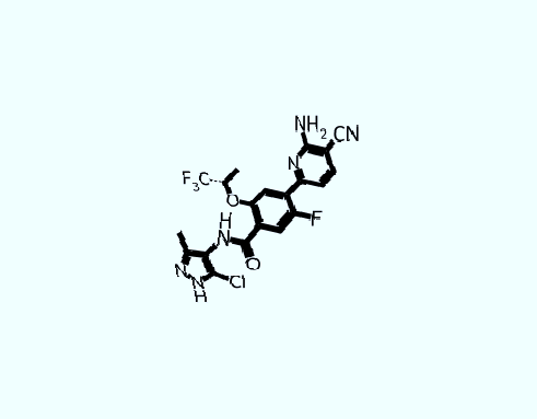 Cc1n[nH]c(Cl)c1NC(=O)c1cc(F)c(-c2ccc(C#N)c(N)n2)cc1O[C@@H](C)C(F)(F)F